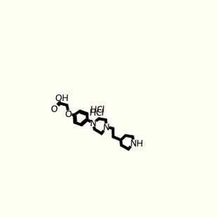 Cl.Cl.O=C(O)COc1ccc(N2CCN(CCC3CCNCC3)CC2)cc1